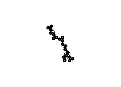 c1cc(-c2ccc3c4ccccc4c4cc(-c5ccc6c(c5)c5ccccc5n6-c5ccc6oc7c(-c8ccc9c%10ccccc%10c%10ccccc%10c9c8)cccc7c6c5)ccc4c3c2)cc(-c2cccc3c2sc2ccc(-c4ccc5oc6c(-c7ccc8c9ccccc9c9ccccc9c8c7)nc(-c7cccc8c7oc7ccccc78)nc6c5c4)cc23)c1